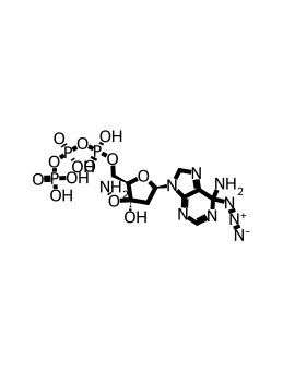 [N-]=[N+]=NC1(N)N=CN=C2C1=NCN2[C@H]1C[C@@](O)(ON)[C@@H](COP(=O)(O)OP(=O)(O)OP(=O)(O)O)O1